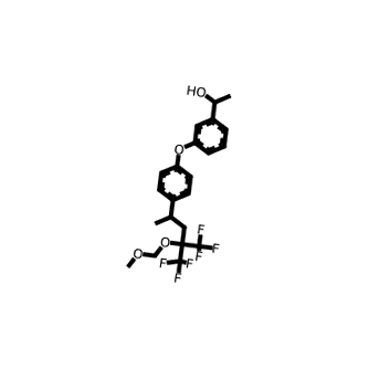 COCOC(CC(C)c1ccc(Oc2cccc(C(C)O)c2)cc1)(C(F)(F)F)C(F)(F)F